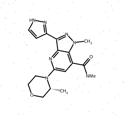 CNC(=O)c1cc(N2CCOC[C@H]2C)nc2c(-c3cc[nH]n3)nn(C)c12